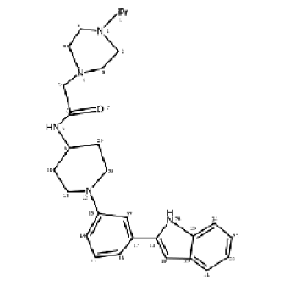 CC(C)N1CCN(CC(=O)NC2CCN(c3cccc(-c4cc5ccccc5[nH]4)c3)CC2)CC1